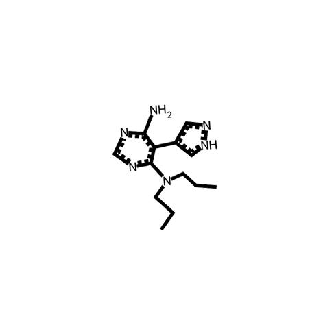 CCCN(CCC)c1ncnc(N)c1-c1cn[nH]c1